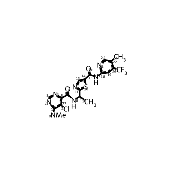 CNc1ncnc(C(=O)NC(C)c2ncc(C(=O)Nc3cc(C(F)(F)F)c(C)cn3)s2)c1Cl